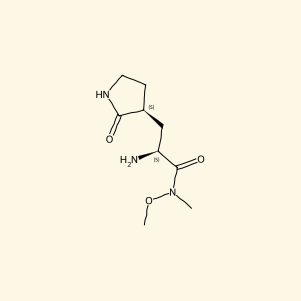 CON(C)C(=O)[C@@H](N)C[C@@H]1CCNC1=O